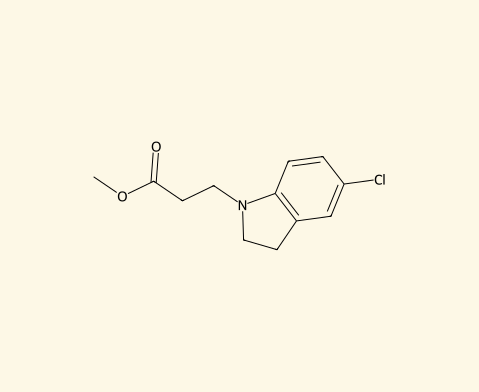 COC(=O)CCN1CCc2cc(Cl)ccc21